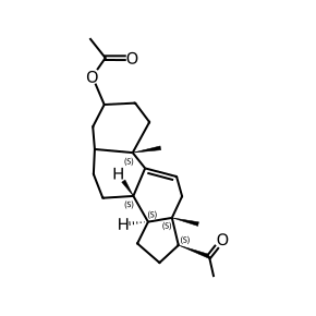 CC(=O)OC1CC[C@]2(C)C3=CC[C@]4(C)[C@@H](C(C)=O)CC[C@H]4[C@@H]3CCC2C1